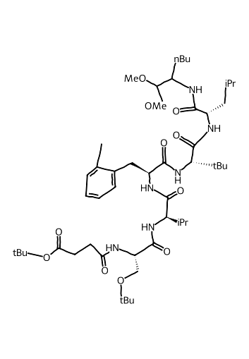 CCCCC(NC(=O)[C@H](CC(C)C)NC(=O)[C@@H](NC(=O)[C@H](Cc1ccccc1C)NC(=O)[C@H](NC(=O)[C@H](COC(C)(C)C)NC(=O)CCC(=O)OC(C)(C)C)C(C)C)C(C)(C)C)C(OC)OC